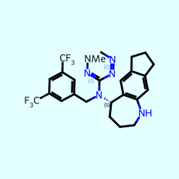 C/N=N\C(=N/NC)N(Cc1cc(C(F)(F)F)cc(C(F)(F)F)c1)[C@H]1CCCNc2cc3c(cc21)CCC3